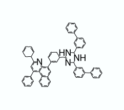 C1=CCC(c2cc(-c3ccccc3)c3c(n2)c(C2=CC(C4=NC(c5cccc(-c6ccccc6)c5)NC(c5cccc(-c6ccccc6)c5)N4)CC=C2)cc2ccccc23)C=C1